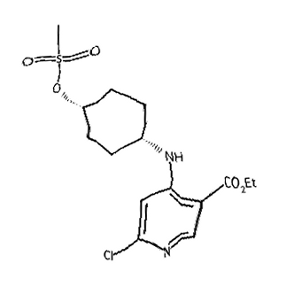 CCOC(=O)c1cnc(Cl)cc1N[C@H]1CC[C@@H](OS(C)(=O)=O)CC1